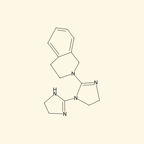 c1ccc2c(c1)CCN(C1=NCCN1C1=NCCN1)C2